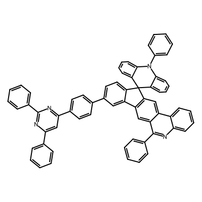 c1ccc(-c2cc(-c3ccc(-c4ccc5c(c4)-c4cc6c(-c7ccccc7)nc7ccccc7c6cc4C54c5ccccc5N(c5ccccc5)c5ccccc54)cc3)nc(-c3ccccc3)n2)cc1